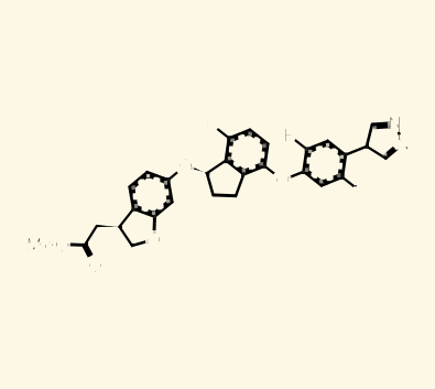 COC(=O)C[C@@H]1COc2cc(O[C@@H]3CCc4c(Oc5cc(F)c(C6C=NN=C6)cc5F)ccc(F)c43)ccc21